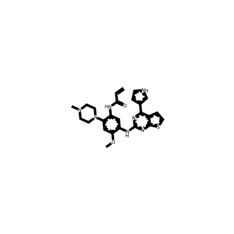 C=CC(=O)Nc1cc(Nc2nc(-c3cc[nH]c3)c3ccsc3n2)c(OC)cc1N1CCN(C)CC1